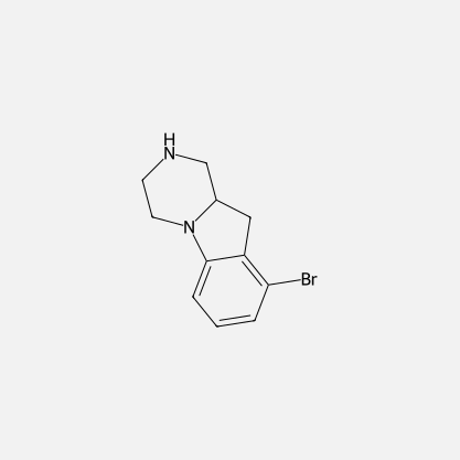 Brc1cccc2c1CC1CNCCN21